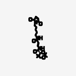 CC1(C)OCC(C)(C)[C@H](C(=O)N/C=C/C(=O)NCCCCCN2C(=O)C=CC2=O)O1